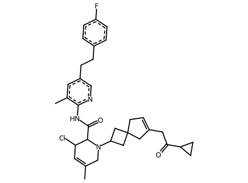 CC1=CC(Cl)C(C(=O)Nc2ncc(CCc3ccc(F)cc3)cc2C)N(C2CC3(CC=C(CC(=O)C4CC4)C3)C2)C1